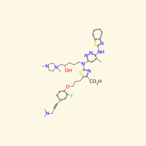 Cc1cc(N(CCCC(O)C[N+]2(C)CCN(C)CC2)c2nc(C(=O)O)c(CCCOc3ccc(C#CCN(C)C)cc3F)s2)nnc1Nc1nc2ccccc2s1